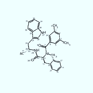 Cc1cc(C)cc(C(=O)N(C)[C@@H](Cc2ccccc2)C(=O)N[C@H](C#N)Cc2c[nH]c3ccccc23)c1